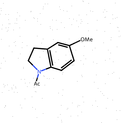 COc1ccc2c(c1)CCN2C(C)=O